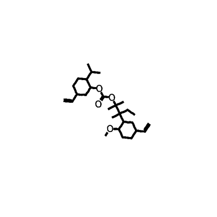 C=CC1CCC(C(C)C)C(OC(=O)OC(C)(C)C(C)(CC)C2CC(C=C)CCC2OC)C1